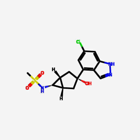 CS(=O)(=O)N[C@@H]1[C@@H]2C[C@@](O)(c3cc(Cl)cc4[nH]ncc34)C[C@@H]21